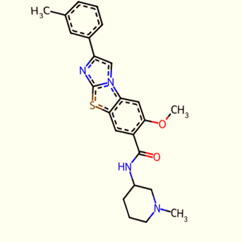 COc1cc2c(cc1C(=O)NC1CCCN(C)C1)sc1nc(-c3cccc(C)c3)cn12